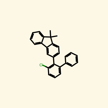 CC1(C)c2ccccc2-c2cc(-c3c(Cl)cccc3-c3ccccc3)ccc21